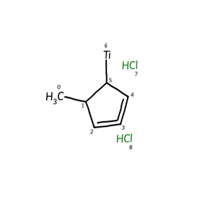 CC1C=C=C[CH]1[Ti].Cl.Cl